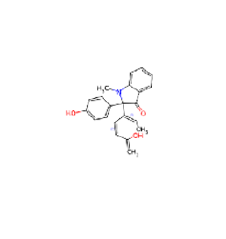 C=C(O)/C=C\C(=C/C)C1(c2ccc(O)cc2)C(=O)c2ccccc2N1C